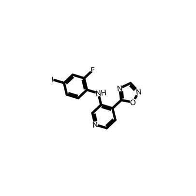 Fc1cc(I)ccc1Nc1cnccc1-c1ncno1